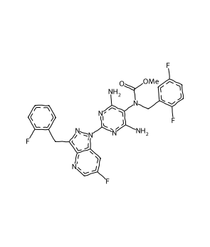 COC(=O)N(Cc1cc(F)ccc1F)c1c(N)nc(-n2nc(Cc3ccccc3F)c3ncc(F)cc32)nc1N